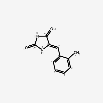 Cc1ccccc1C=C1NC(=O)NC1=O